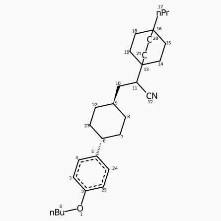 CCCCOc1ccc([C@H]2CC[C@H](CC(C#N)C34CCC(CCC)(CC3)CC4)CC2)cc1